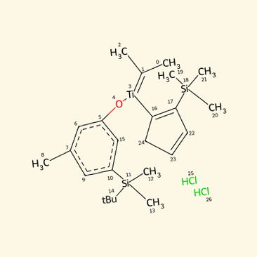 C[C](C)=[Ti]([O]c1cc(C)cc([Si](C)(C)C(C)(C)C)c1)[C]1=C([Si](C)(C)C)C=CC1.Cl.Cl